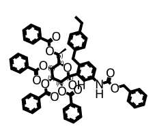 CCc1ccc(Cc2ccc(NC(=O)OCc3ccccc3)cc2[C@@]2(O)O[C@H]([C@H](C)OC(=O)c3ccccc3)[C@@H](OC(=O)c3ccccc3)[C@H](OC(=O)c3ccccc3)[C@H]2OC(=O)c2ccccc2)cc1